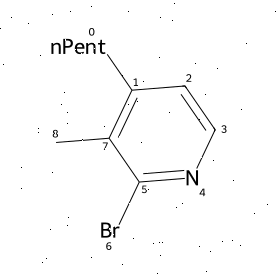 CCCCCc1ccnc(Br)c1C